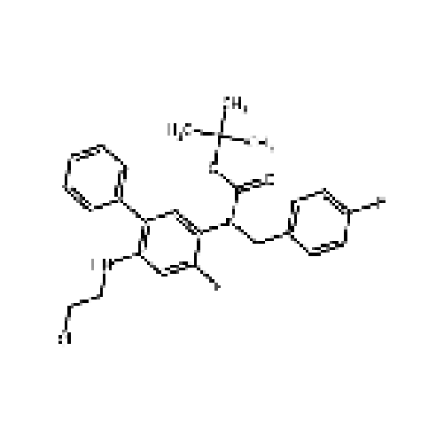 CC(C)(C)OC(=O)N(Cc1ccc(F)cc1)c1cc(-c2ccccc2)c(NCCCl)cc1F